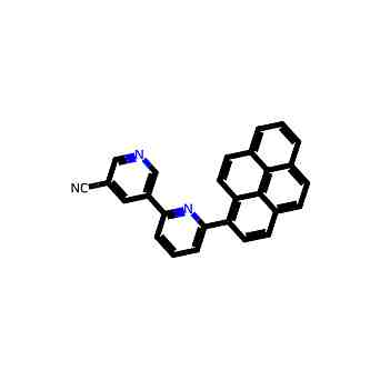 N#Cc1cncc(-c2cccc(-c3ccc4ccc5cccc6ccc3c4c56)n2)c1